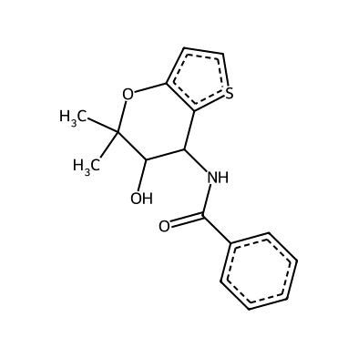 CC1(C)Oc2ccsc2C(NC(=O)c2ccccc2)C1O